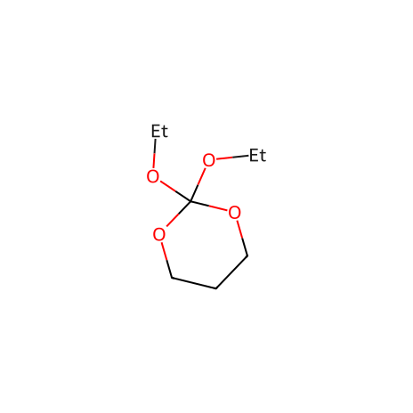 CCOC1(OCC)OCCCO1